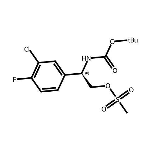 CC(C)(C)OC(=O)N[C@@H](COS(C)(=O)=O)c1ccc(F)c(Cl)c1